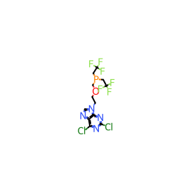 FC(F)(F)CP(COCCn1cnc2c(Cl)nc(Cl)nc21)CC(F)(F)F